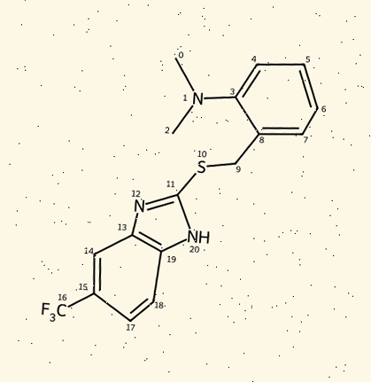 CN(C)c1ccccc1CSc1nc2cc(C(F)(F)F)ccc2[nH]1